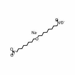 O=[N+]([O-])CCCCCCCCOCCCCCCCC[N+](=O)[O-].[Na]